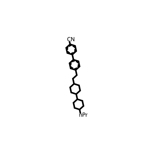 CCCC1CCC(C2CCC(CCc3ccc(-c4ccc(C#N)cc4)cc3)CC2)CC1